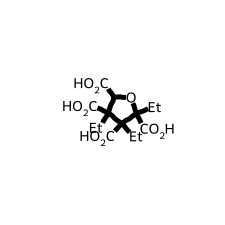 CCC1(C(=O)O)OC(C(=O)O)C(CC)(C(=O)O)C1(CC)C(=O)O